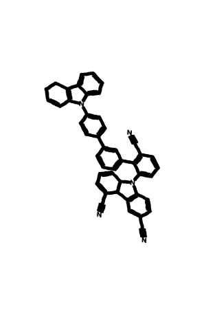 N#CC1=CC=CC2C1c1cc(C#N)ccc1N2c1cccc(C#N)c1-c1cccc(-c2ccc(-n3c4c(c5ccccc53)CCC=C4)cc2)c1